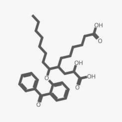 CCCCCCCC(Oc1ccccc1C(=O)c1ccccc1)C(CCCCCC(=O)O)CC(O)C(=O)O